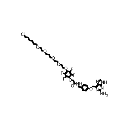 Nc1nc(COc2ccc(CNC(=O)COc3c(F)c(F)c(OCCOCCOCCCOCCOCCCCCCCl)c(F)c3F)cc2)c2nc[nH]c2n1